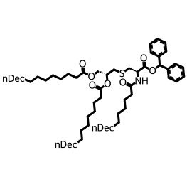 CCCCCCCCCCCCCCCCCC(=O)OC[C@H](CSC[C@H](NC(=O)CCCCCCCCCCCCCCC)C(=O)OC(c1ccccc1)c1ccccc1)OC(=O)CCCCCCCCCCCCCCCCC